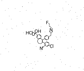 Cl.N#Cc1cc(Cl)ccc1C1=C(c2ccc(CC3CN(CCCF)C3)cc2)c2ccc(C(=O)O)cc2CCC1